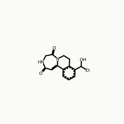 CCC(O)c1cccc2c1CCN1C(=O)CNC(=O)C=C21